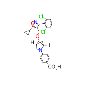 O=C(O)c1ccc(N2C[C@@H]3C[C@H]2CC3OCc2c(-c3c(Cl)cccc3Cl)noc2C2CC2)cc1